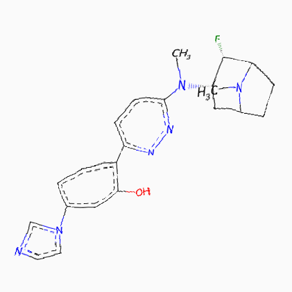 CN1C2CCC1[C@@H](F)[C@@H](N(C)c1ccc(-c3ccc(-n4ccnc4)cc3O)nn1)C2